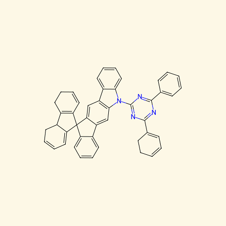 C1=CCCC(c2nc(-c3ccccc3)nc(-n3c4ccccc4c4cc5c(cc43)-c3ccccc3C53C4=CC=CCC4C4=C3C=CCC4)n2)=C1